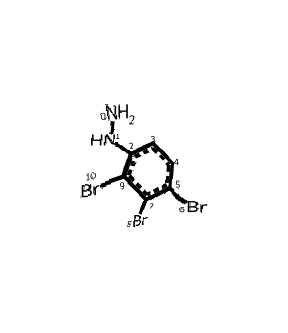 NNc1ccc(Br)c(Br)c1Br